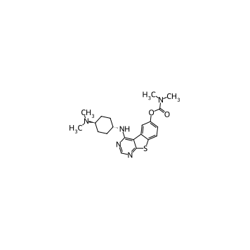 CN(C)C(=O)Oc1ccc2sc3ncnc(N[C@H]4CC[C@H](N(C)C)CC4)c3c2c1